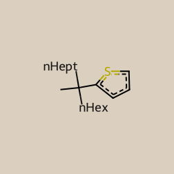 CCCCCCCC(C)(CCCCCC)c1cccs1